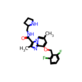 Cc1cc(OCc2c(F)cccc2F)c2nc(C)c(C(=O)NCC3CCCN3)n2c1